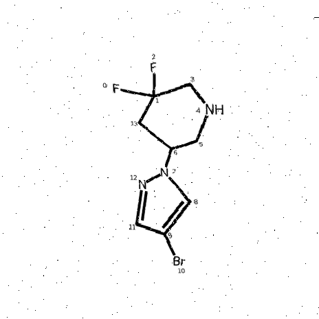 FC1(F)CNCC(n2cc(Br)cn2)C1